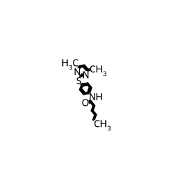 CCCCCC(=O)Nc1ccc(Sc2nc(C)cc(C)n2)cc1